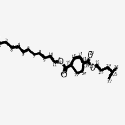 CCCCCCCCCCCCOC(=O)C1CCC(C(=O)OCCCC(C)C)CC1